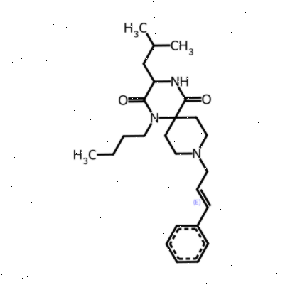 CCCCN1C(=O)C(CC(C)C)NC(=O)C12CCN(C/C=C/c1ccccc1)CC2